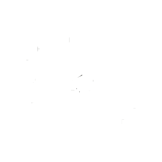 COc1cc([C@@](Cc2ccccc2)(NC(=O)c2cccc(C(F)(F)F)c2)c2cc(F)cc(C(F)(F)F)c2)ccc1F